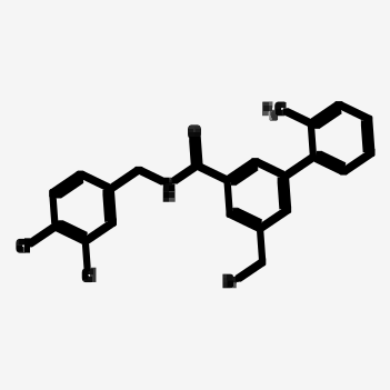 O=C(NCc1ccc(Cl)c(Cl)c1)c1cc(CBr)cc(-c2ccccc2C(F)(F)F)c1